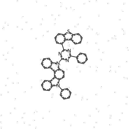 c1ccc(-c2nc(-c3cccc4sc5ccccc5c34)nc(-n3c4ccccc4c4c5c6ccccc6n(-c6ccccc6)c5ccc43)n2)cc1